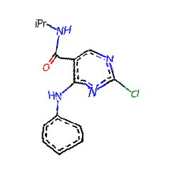 CC(C)NC(=O)c1cnc(Cl)nc1Nc1ccccc1